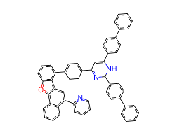 C1=C(C2=NC(c3ccc(-c4ccccc4)cc3)NC(c3ccc(-c4ccccc4)cc3)=C2)CCC(c2cccc3oc4c5ccccc5c(-c5ccccn5)cc4c23)=C1